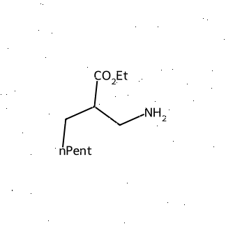 CCCCCCC(CN)C(=O)OCC